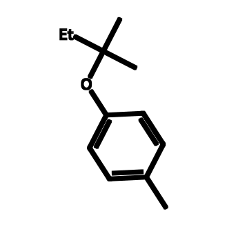 CCC(C)(C)Oc1ccc(C)cc1